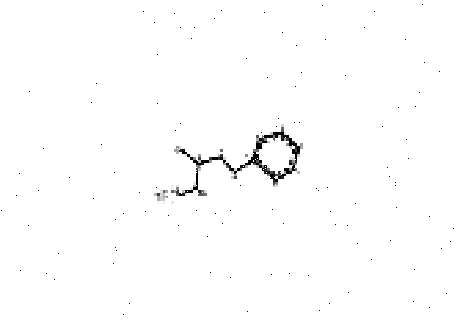 CC(CCc1[c]cccc1)CC(C)(C)C